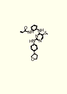 C=CC(=O)Nc1cccc(Nc2nc(Nc3ccc([C@H]4CCOC4)cc3)ncc2SC)c1